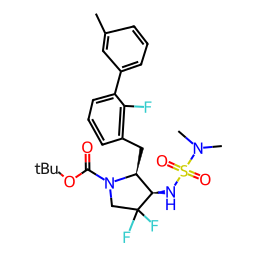 Cc1cccc(-c2cccc(C[C@H]3[C@@H](NS(=O)(=O)N(C)C)C(F)(F)CN3C(=O)OC(C)(C)C)c2F)c1